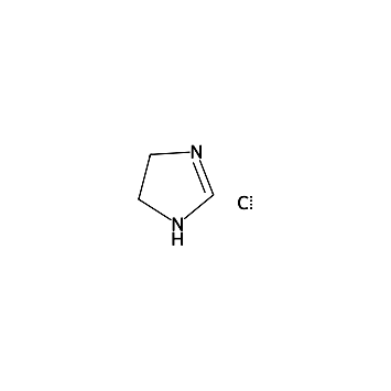 C1=NCCN1.[C]